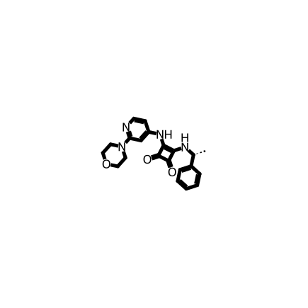 C[C@@H](Nc1c(Nc2ccnc(N3CCOCC3)c2)c(=O)c1=O)c1ccccc1